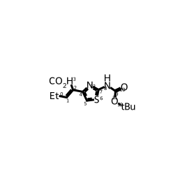 CCC=C(C(=O)O)c1csc(NC(=O)OC(C)(C)C)n1